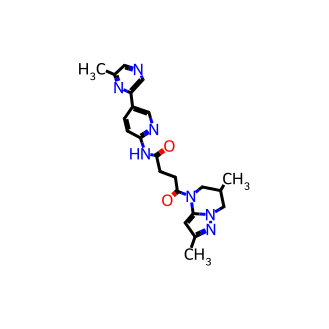 Cc1cncc(-c2ccc(NC(=O)CCC(=O)N3CC(C)Cn4nc(C)cc43)nc2)n1